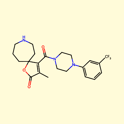 CC1=C(C(=O)N2CCN(c3cccc(C(F)(F)F)c3)CC2)C2(CCCNCC2)OC1=O